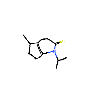 CC1CCC2=C1CC(=S)N2C(C)C